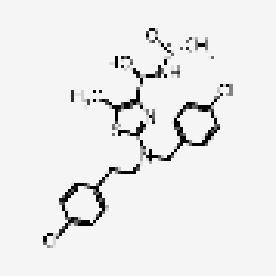 Cc1sc(N(CCc2ccc(Cl)cc2)Cc2ccc(Cl)cc2)nc1C(O)N[S+](C)[O-]